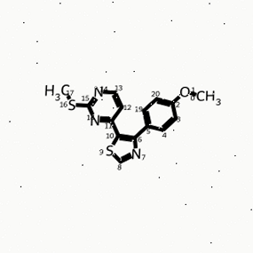 COc1ccc(-c2ncsc2-c2ccnc(SC)n2)cc1